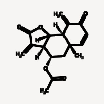 C=C1C(=O)O[C@H]2[C@H]1[C@@H](OC(C)=O)C[C@@]1(C)C=CC(=O)C(=C)[C@H]21